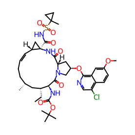 CC[C@@H]1C[C@H](C)CC/C=C\[C@@H]2C[C@@]2(C(=O)NS(=O)(=O)C2(C)CC2)NC(=O)[C@@H]2C[C@@H](Oc3ncc(Cl)c4ccc(OC)cc34)CN2C(=O)[C@H]1NC(=O)OC(C)(C)C